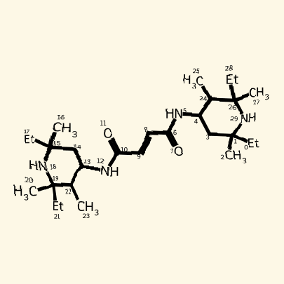 CCC1(C)CC(NC(=O)/C=C/C(=O)NC2CC(C)(CC)NC(C)(CC)C2C)C(C)C(C)(CC)N1